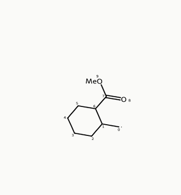 [CH2]C1CCCCC1C(=O)OC